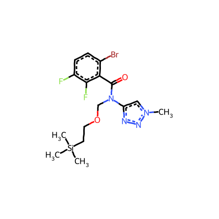 Cn1cc(N(COCC[Si](C)(C)C)C(=O)c2c(Br)ccc(F)c2F)nn1